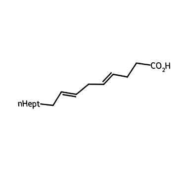 CCCCCCCC/C=C/C/C=C/CCC(=O)O